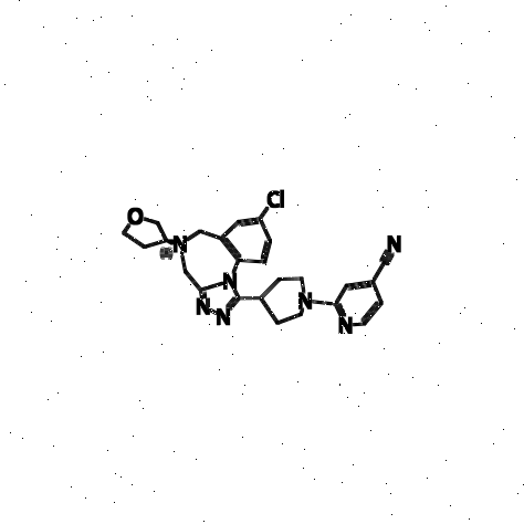 N#Cc1ccnc(N2CCC(c3nnc4n3-c3ccc(Cl)cc3CN([C@H]3CCOC3)C4)CC2)c1